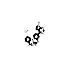 C[C@@H](Nc1cnc2cc(-c3ncnc4[nH]ccc34)ccc2n1)c1ccccc1.Cl